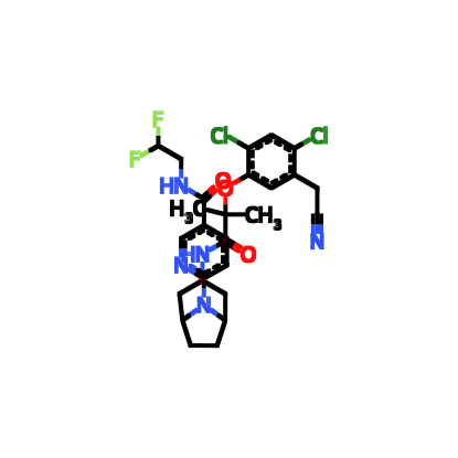 CC(C)(Oc1cc(CC#N)c(Cl)cc1Cl)C(=O)NC1CC2CCC(C1)N2c1ccc(C(=O)NCC(F)F)cn1